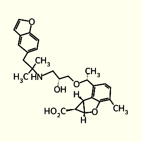 Cc1ccc([C@@H](C)OC[C@H](O)CNC(C)(C)Cc2ccc3occc3c2)c2c1O[C@@H]1[C@@H](C(=O)O)[C@H]21